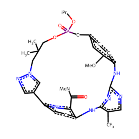 CNC(=O)c1nc2ccc1Nc1nc(ncc1C(F)(F)F)Nc1ccc(cc1OC)CP(=O)(OC(C)C)OCC(C)(C)Cn1cc-2cn1